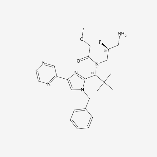 COCC(=O)N(C[C@@H](F)CN)[C@@H](c1nc(-c2cnccn2)cn1Cc1ccccc1)C(C)(C)C